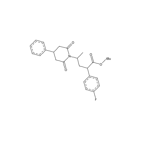 CC(CC(C(=O)OC(C)(C)C)c1ccc(F)cc1)N1C(=O)CC(c2ccccc2)CC1=O